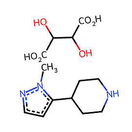 Cn1nccc1C1CCNCC1.O=C(O)C(O)C(O)C(=O)O